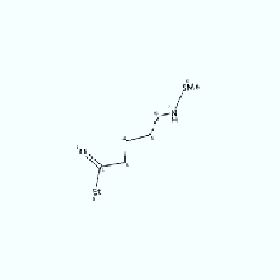 CCC(=O)CCCCNSC